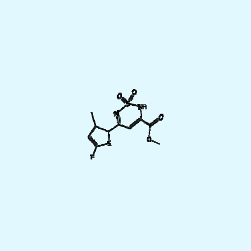 COC(=O)C1=CC(C2SC(F)=CC2C)=NS(=O)(=O)N1